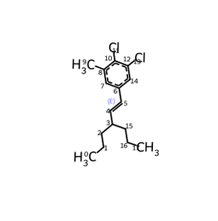 CCCC(/C=C/c1cc(C)c(Cl)c(Cl)c1)CCC